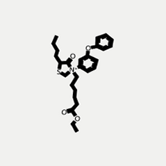 CCCCC1SC[N+](CCCCCC(=O)OCC)(c2cccc(Oc3ccccc3)c2)C1=O